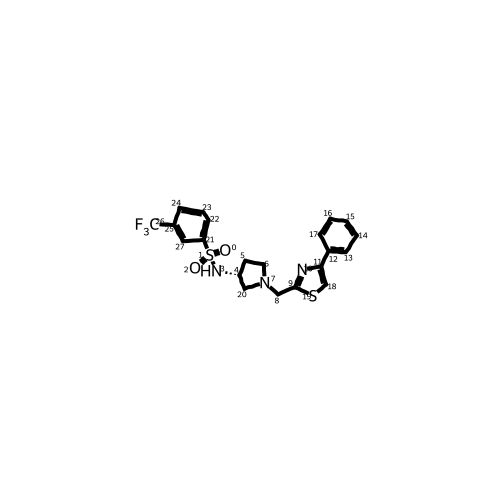 O=S(=O)(N[C@@H]1CCN(Cc2nc(-c3ccccc3)cs2)C1)c1cccc(C(F)(F)F)c1